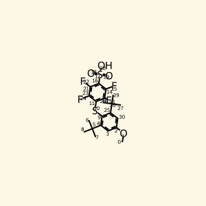 COc1cc(C(C)(C)C)c(Sc2c(F)c(F)c(S(=O)(=O)O)c(F)c2F)c(C(C)(C)C)c1